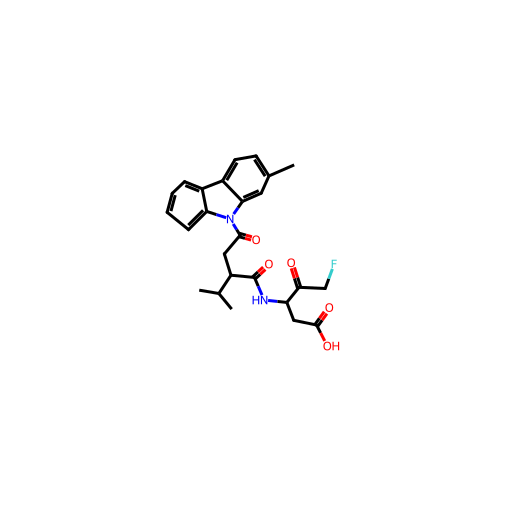 Cc1ccc2c3ccccc3n(C(=O)CC(C(=O)NC(CC(=O)O)C(=O)CF)C(C)C)c2c1